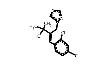 CC(C)(C)C(=Cc1ccc(Cl)cc1Cl)Cn1cncn1